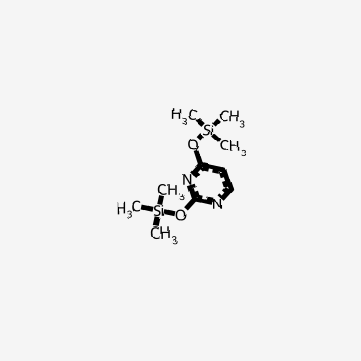 C[Si](C)(C)Oc1ccnc(O[Si](C)(C)C)n1